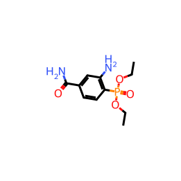 CCOP(=O)(OCC)c1ccc(C(N)=O)cc1N